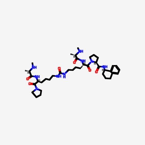 CN[C@@H](C)C(=O)N[C@@H](CCCCNC(=O)NCCCC[C@H](NC(=O)[C@H](C)NC)C(=O)N1CCC[C@H]1C(=O)N[C@@H]1CCCc2ccccc21)C(=O)N1CCCC1